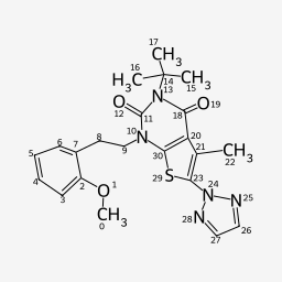 COc1ccccc1CCn1c(=O)n(C(C)(C)C)c(=O)c2c(C)c(-n3nccn3)sc21